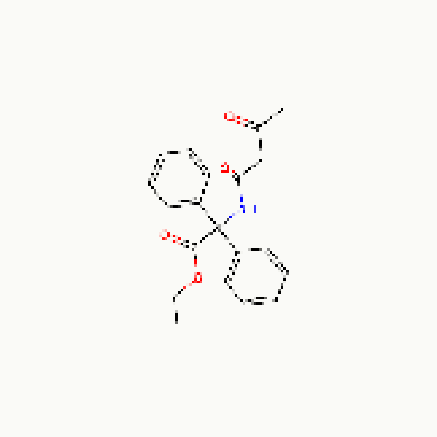 CCOC(=O)C(NC(=O)CC(C)=O)(c1ccccc1)c1ccccc1